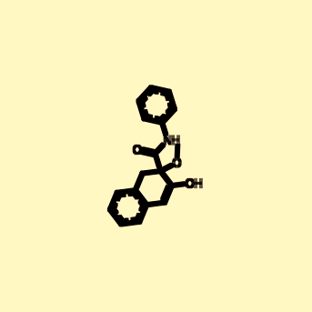 COC1(C(=O)Nc2ccccc2)Cc2ccccc2C=C1O